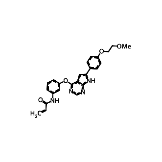 C=CC(=O)Nc1cccc(Oc2ncnc3[nH]c(-c4ccc(OCCOC)cc4)cc23)c1